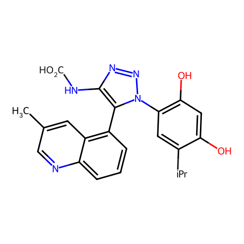 Cc1cnc2cccc(-c3c(NC(=O)O)nnn3-c3cc(C(C)C)c(O)cc3O)c2c1